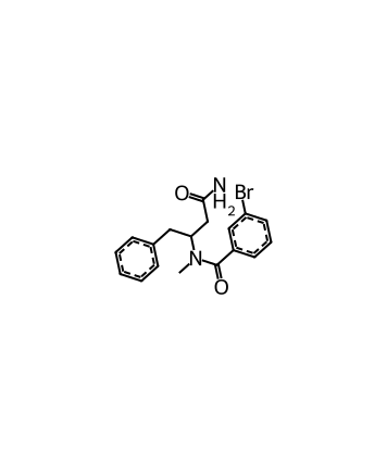 CN(C(=O)c1cccc(Br)c1)C(CC(N)=O)Cc1ccccc1